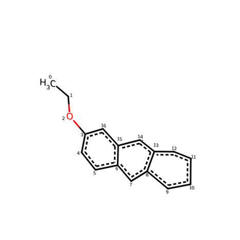 CCOc1ccc2cc3ccccc3[c]c2c1